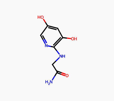 NC(=O)CNc1ncc(O)cc1O